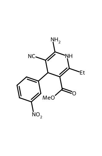 CCC1=C(C(=O)OC)C(c2cccc([N+](=O)[O-])c2)C(C#N)=C(N)N1